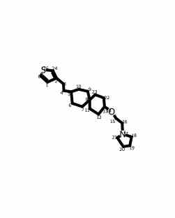 c1cc(CCC2CCC3(CC2)CCC(OCCN2CCCC2)CC3)cs1